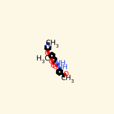 CC(=O)c1cccc(NC(=O)Nc2cc3ccc(OC4CCN(C)CC4)c(C)c3oc2=O)c1